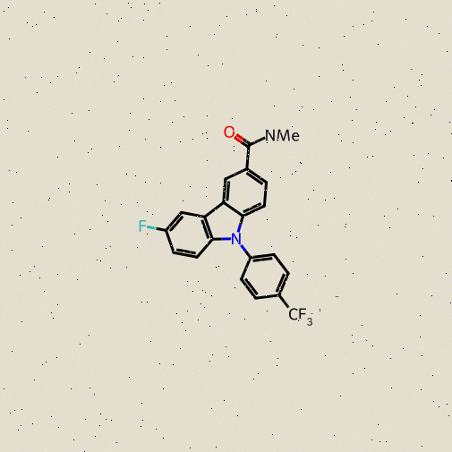 CNC(=O)c1ccc2c(c1)c1cc(F)ccc1n2-c1ccc(C(F)(F)F)cc1